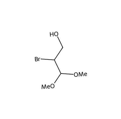 COC(OC)C(Br)CO